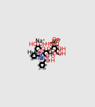 C[C@H]1C[C@@H](O)[C@H](O)[C@H](O[C@@H]2[C@@H](NC(=O)c3ccccc3)[C@H](NC(=O)c3ccccc3)O[C@H](CO)[C@H]2O[C@@H]2O[C@H](CO)[C@H](O)[C@H](OS(=O)(=O)[O-])[C@H]2O)O1.[Na+]